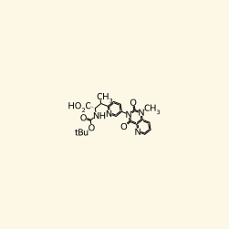 CC(c1ccc(-n2c(=O)c3ncccc3n(C)c2=O)cn1)[C@H](NC(=O)OC(C)(C)C)C(=O)O